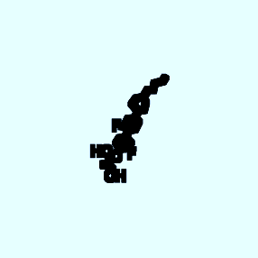 C=C(CO)C(O)Oc1ccc(-c2ccc(C3CCC(CCCCC)CC3)cc2F)cc1F